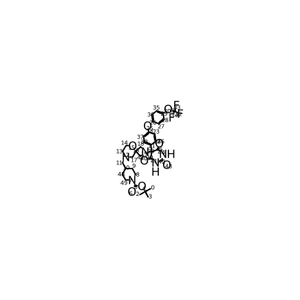 CC(C)(C)OC(=O)N1CCC(CN2CCOC3(C2)CN(C2(c4ccc(Oc5ccc(OC(F)(F)F)cc5)cc4)C(=O)NC(=O)NC2=O)C3)CC1